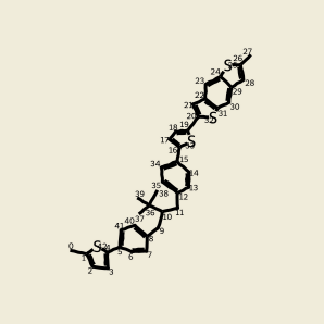 Cc1ccc(-c2ccc(CC(Cc3ccc(-c4ccc(-c5cc6cc7sc(C)cc7cc6s5)s4)cc3)C(C)(C)C)cc2)s1